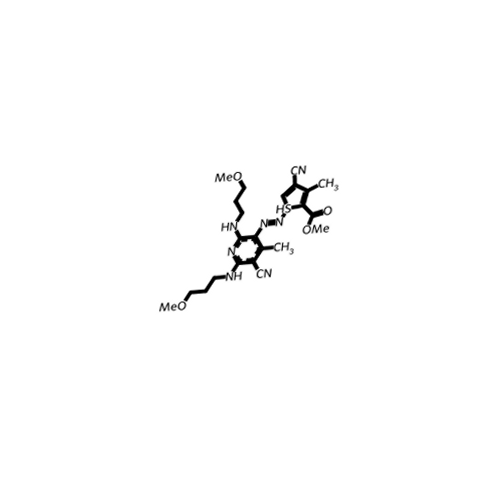 COCCCNc1nc(NCCCOC)c(N=N[SH]2C=C(C#N)C(C)=C2C(=O)OC)c(C)c1C#N